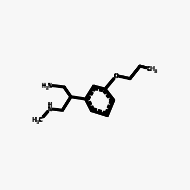 CCCOc1cccc(C(CN)CNC)c1